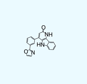 O=c1cc(-c2cccc(-c3ncco3)c2)c2[nH]c3ccccc3c2[nH]1